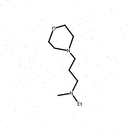 CCN(C)CCCN1CCOCC1